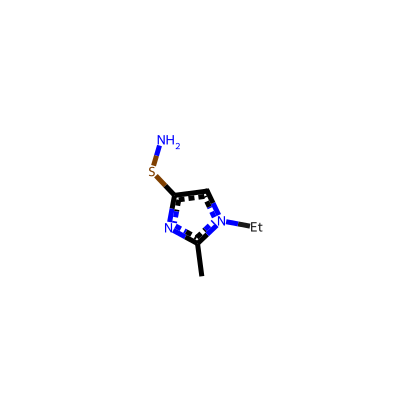 CCn1cc(SN)nc1C